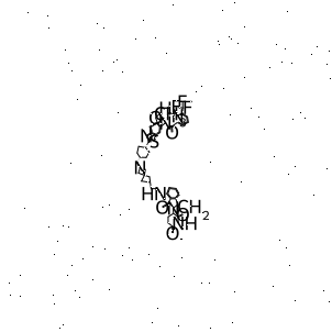 C=C1c2cccc(NCCC3CC4(C3)CN(C[C@H]3CC[C@H](c5nc6cc(OC)c(NC(=O)c7cccc(C(F)(F)F)n7)cc6s5)CC3)C4)c2C(=O)N1C1CCC(=O)NC1=O